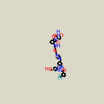 O=C1CCC(N2C(=O)c3cccc(NCCOCCN4CCN(Cc5ccc6c(c5)nc(NC(=O)c5cccc(C(F)(F)F)c5)n6[C@H]5CC[C@@H](CO)CC5)CC4)c3C2=O)C(=O)N1